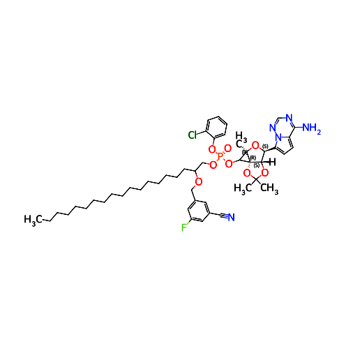 CCCCCCCCCCCCCCCCCC(COP(=O)(Oc1ccccc1Cl)OC1[C@@]2(C)O[C@@H](c3ccc4c(N)ncnn34)[C@@H]3OC(C)(C)O[C@@]132)OCc1cc(F)cc(C#N)c1